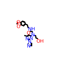 Cc1cc(N(CCCO)CC(=O)NCCc2ccc3c(c2)OCO3)nc(-n2ccnc2)n1